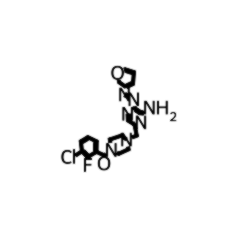 Nc1nc(CN2CCN(C(=O)c3cccc(Cl)c3F)CC2)cnc1N=NC1=CC=COC1